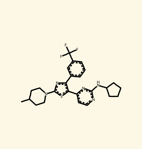 CC1CCN(c2nc(-c3cccc(C(F)(F)F)c3)c(-c3ccnc(NC4CCCC4)n3)s2)CC1